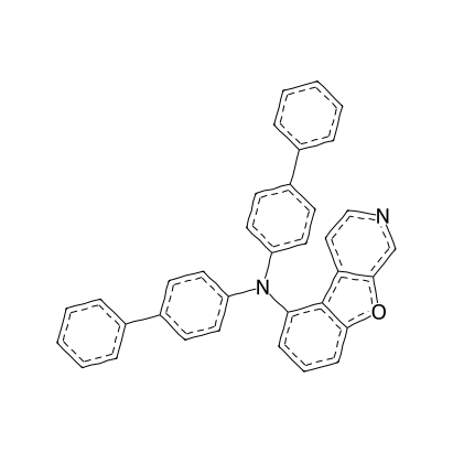 c1ccc(-c2ccc(N(c3ccc(-c4ccccc4)cc3)c3cccc4oc5cnccc5c34)cc2)cc1